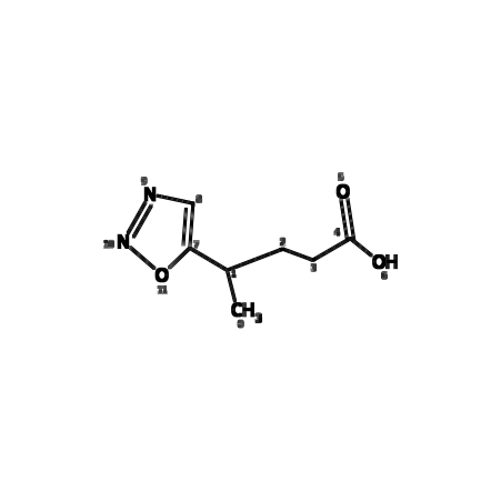 CC(CCC(=O)O)c1cnno1